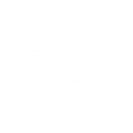 O=Cc1c(O)cccc1OCC[C@@H]1CCCN1C(=O)c1nccnc1CCO